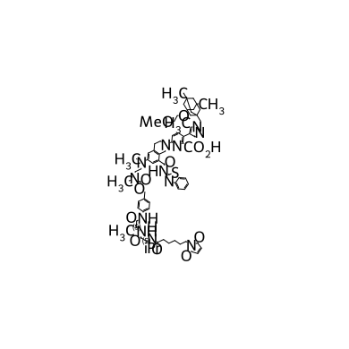 COCCOC12CC3(C)CC(C)(CC(Cn4ncc(-c5ccc(N6CCc7cc(N(C)CCN(C)C(=O)OCc8ccc(NC(=O)[C@H](C)NC(=O)[C@@H](NC(=O)CCCCCN9C(=O)C=CC9=O)C(C)C)cc8)cc(C(=O)Nc8nc9ccccc9s8)c7C6)nc5C(=O)O)c4C)(C3)C1)C2